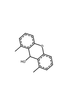 Cc1cccc2c1C(O)c1c(C)cccc1O2